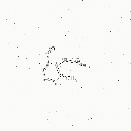 Cc1cccc(C=O)c1N=[N+]=[N-]